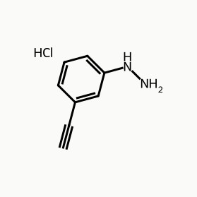 C#Cc1cccc(NN)c1.Cl